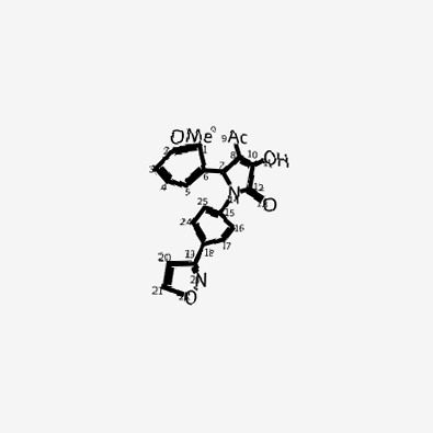 COc1ccccc1C1C(C(C)=O)=C(O)C(=O)N1c1ccc(-c2ccon2)cc1